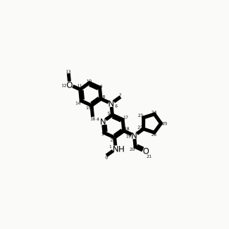 CNc1cnc(N(C)c2ccc(OC)cc2C)cc1N(C=O)C1CCCC1